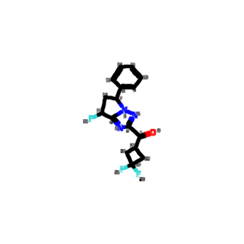 O=C(c1nc2n(n1)C(c1ccccc1)CC2F)C1CC(F)(F)C1